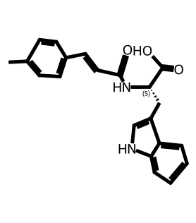 Cc1ccc(C=CC(=O)N[C@@H](Cc2c[nH]c3ccccc23)C(=O)O)cc1